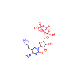 NC/C=C/c1cn([C@@H]2O[C@H](COP(=O)(O)OP(=O)(O)OP(=O)(O)O)C(O)[C@@H]2O)c(=O)nc1N